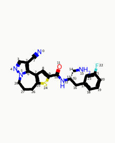 N#Cc1cnn2c1-c1cc(C(=O)N[C@H](CN)Cc3cccc(F)c3)sc1CCC2